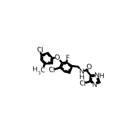 Cc1cc(Cl)cc(Oc2c(Cl)ccc(CNC(=O)c3[nH]cnc3Cl)c2F)c1